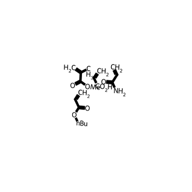 C=C(C)C(=O)OC.C=CC(=O)O.C=CC(=O)OCCCC.C=CC(N)=O